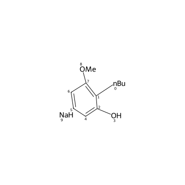 CCCCc1c(O)cccc1OC.[NaH]